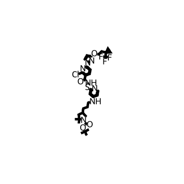 CC(C)(C)OC(=O)N1CC(CCCNc2ccnc(SNC(=O)c3ccc(-n4ccc(OCCC5(C(F)(F)F)CC5)n4)nc3Cl)c2)CC1(C)C